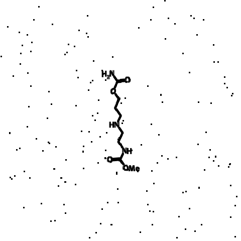 COC(=O)NCCNCCCOC(N)=O